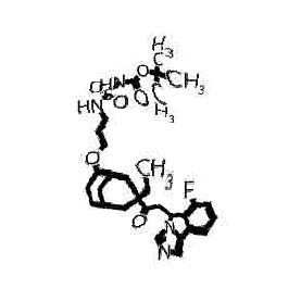 CCC1(C(=O)CC2c3c(F)cccc3-c3cncn32)CC2CCC(OCCCNS(=O)(=O)NC(=O)OC(C)(C)C)C(C2)C1